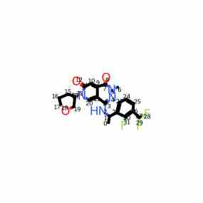 CC(Nc1nn(C)c(=O)c2cc(=O)n([C@H]3CCCOC3)cc12)c1cccc(C(F)F)c1F